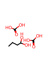 CCCC(O)O.O=C(O)O.O=C(O)O